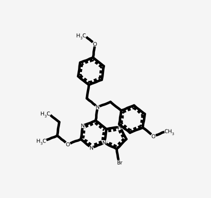 CCC(C)Oc1nc(N(Cc2ccc(OC)cc2)Cc2ccc(OC)cc2)c2ncc(Br)n2n1